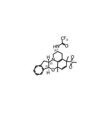 CC12C=CC(C)(S(C)(=O)=O)C3=C1N(C[C@H](NC(=O)C(F)(F)F)C3)[C@H]1Cc3ccccc3[C@@H]1O2